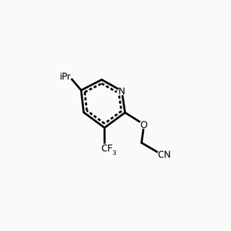 CC(C)c1cnc(OCC#N)c(C(F)(F)F)c1